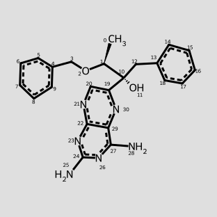 C[C@H](OCc1ccccc1)[C@@](O)(Cc1ccccc1)c1cnc2nc(N)nc(N)c2n1